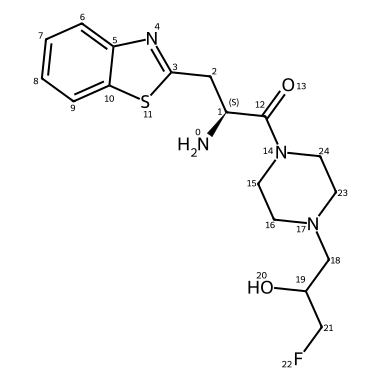 N[C@@H](Cc1nc2ccccc2s1)C(=O)N1CCN(CC(O)CF)CC1